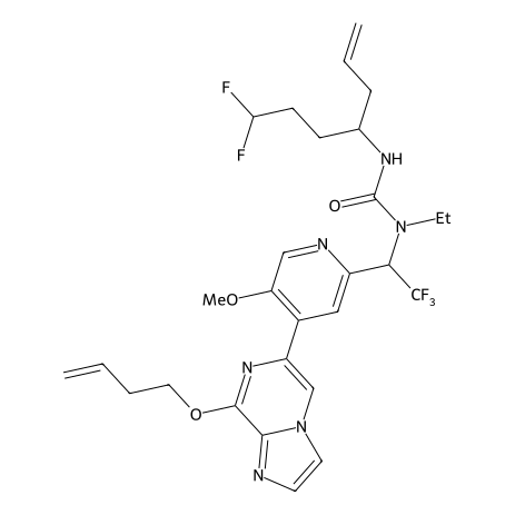 C=CCCOc1nc(-c2cc(C(N(CC)C(=O)NC(CC=C)CCC(F)F)C(F)(F)F)ncc2OC)cn2ccnc12